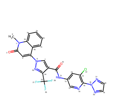 Cn1c(=O)cc(-n2cc(C(=O)Nc3cnc(-n4nccn4)c(Cl)c3)c(C(F)(F)F)n2)c2ccccc21